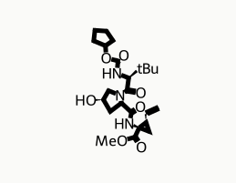 C=C[C@@H]1C[C@]1(NC(=O)C1C[C@H](O)CN1C(=O)[C@@H](NC(=O)OC1CCCC1)C(C)(C)C)C(=O)OC